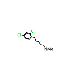 CNCC[CH]CCc1ccc(Cl)cc1Cl